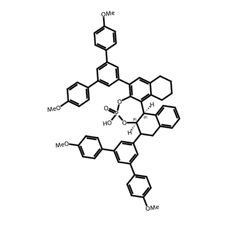 COc1ccc(-c2cc(-c3ccc(OC)cc3)cc(-c3cc4c(c5c3OP(=O)(O)O[C@@H]3C(c6cc(-c7ccc(OC)cc7)cc(-c7ccc(OC)cc7)c6)Cc6ccccc6[C@H]53)CCCC4)c2)cc1